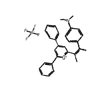 CC(=C(C)c1cc(-c2ccccc2)cc(-c2ccccc2)[o+]1)c1ccc(N(C)C)cc1.F[B-](F)(F)F